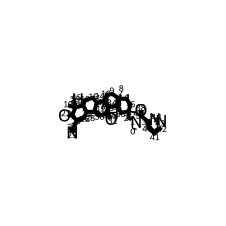 CN(C[C@@]1(C)CC[C@]2(C)CC[C@@]3(C)[C@]4(C)CC[C@H]5C(C)(C)C(=O)C(C#N)=C[C@]5(C)C4=CC(=O)[C@]3(O)[C@@H]2C1)C(=O)c1cccnn1